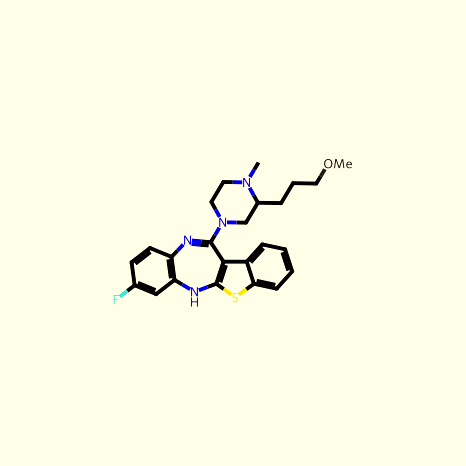 COCCCC1CN(C2=Nc3ccc(F)cc3Nc3sc4ccccc4c32)CCN1C